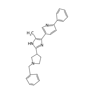 Cc1[nH]c(C2CCN(Cc3ccccc3)C2)nc1-c1ccc(-c2ccccc2)nc1